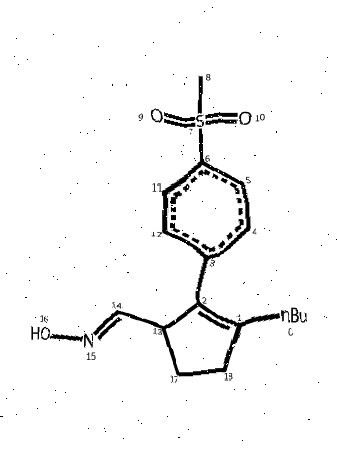 CCCCC1=C(c2ccc(S(C)(=O)=O)cc2)C(C=NO)CC1